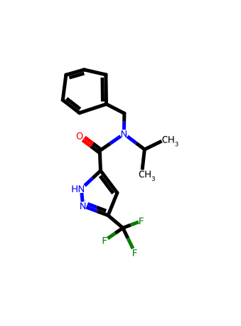 CC(C)N(Cc1ccccc1)C(=O)c1cc(C(F)(F)F)n[nH]1